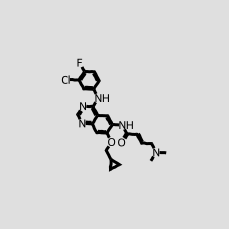 CN(C)CC=CC(=O)Nc1cc2c(Nc3ccc(F)c(Cl)c3)ncnc2cc1OCC1CC1